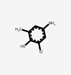 Cc1cc(N)cc(Cl)c1S